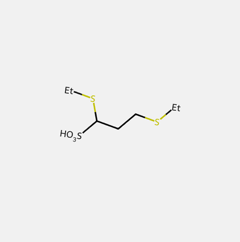 CCSCCC(SCC)S(=O)(=O)O